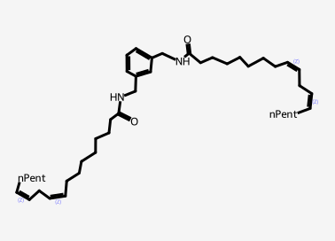 CCCCC/C=C\C/C=C\CCCCCCCC(=O)NCc1cccc(CNC(=O)CCCCCCC/C=C\C/C=C\CCCCC)c1